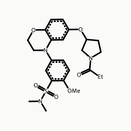 CCC(=O)N1CCC(Oc2ccc3c(c2)N(c2ccc(OC)c(S(=O)(=O)N(C)C)c2)CCO3)C1